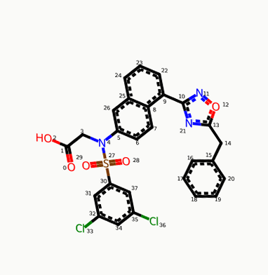 O=C(O)CN(c1ccc2c(-c3noc(Cc4ccccc4)n3)cccc2c1)S(=O)(=O)c1cc(Cl)cc(Cl)c1